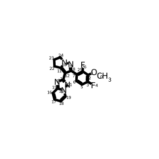 COc1c(F)ccc(-c2nn3c(c2-c2nc4ccccn4n2)CCC3)c1F